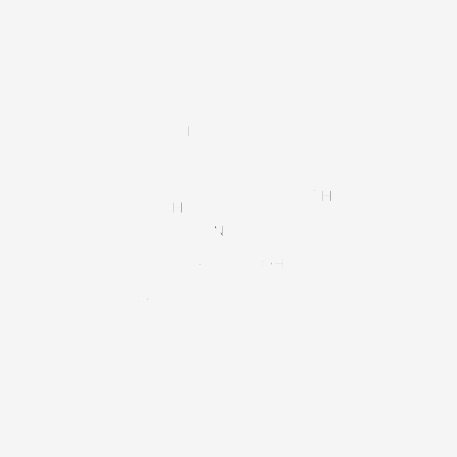 CC(O)C(CO)(CO)N(CCO)CCO